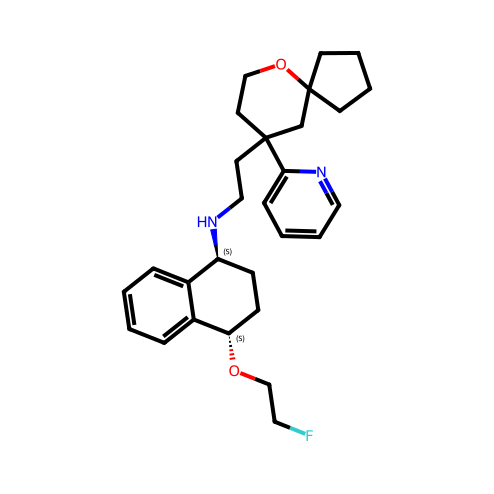 FCCO[C@H]1CC[C@H](NCCC2(c3ccccn3)CCOC3(CCCC3)C2)c2ccccc21